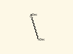 CCCCCCCCCCCCCCCCCCCCCCC[CH]OCCCCCCCCCC